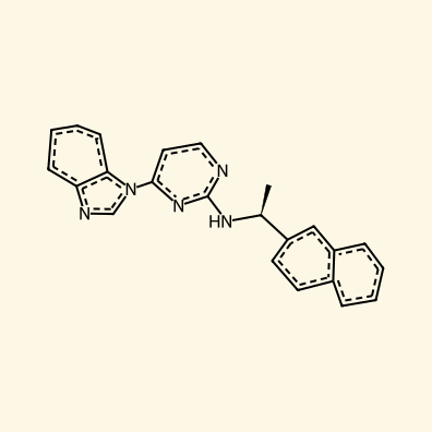 C[C@H](Nc1nccc(-n2cnc3ccccc32)n1)c1ccc2ccccc2c1